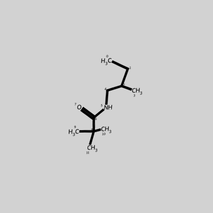 CCC(C)CNC(=O)C(C)(C)C